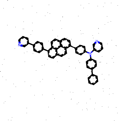 c1ccc(-c2ccc(N(c3ccc(-c4ccc5ccc6c(-c7ccc(-c8cccnc8)cc7)ccc7ccc4c5c76)cc3)c3cccnc3)cc2)cc1